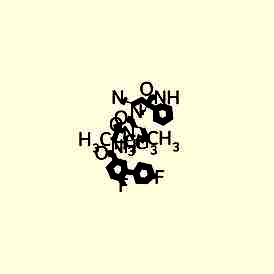 CC(C)C[C@@H](C(=O)N1C[C@]2(C[C@H]1C#N)C(=O)Nc1ccccc12)N(C)C(=O)[C@H](C)NC(=O)c1ccc(F)c(-c2ccc(F)cc2)c1